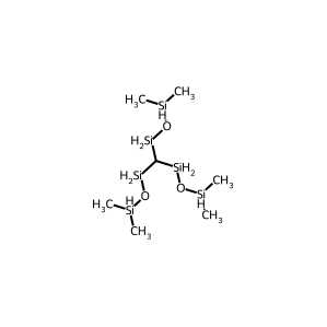 C[SiH](C)O[SiH2]C([SiH2]O[SiH](C)C)[SiH2]O[SiH](C)C